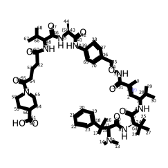 C/C(=C\C(NC(=O)[C@@H](NC(=O)C(N(C)C)C(C)(C)c1ccccc1)C(C)(C)C)C(C)C)C(=O)NOCc1ccc(NC(=O)[C@H](C)NC(=O)C(NC(=O)CCCC(=O)N2CCC(C(=O)O)CC2)C(C)C)cc1